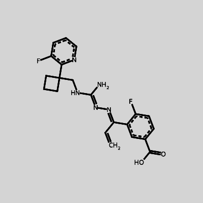 C=C/C(=N\N=C(/N)NCC1(c2ncccc2F)CCC1)c1cc(C(=O)O)ccc1F